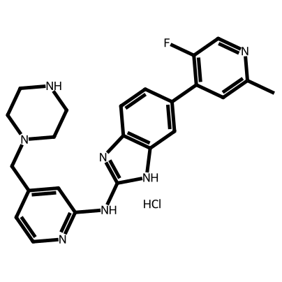 Cc1cc(-c2ccc3nc(Nc4cc(CN5CCNCC5)ccn4)[nH]c3c2)c(F)cn1.Cl